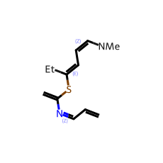 C=C/C=N\C(=C)S/C(=C/C=C\NC)CC